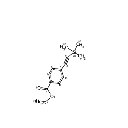 CCCCCCCOC(=O)c1ccc(C#C[Si](C)(C)C)cc1